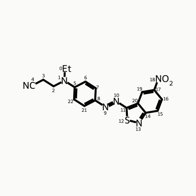 CCN(CCC#N)c1ccc(N=Nc2snc3ccc([N+](=O)[O-])cc23)cc1